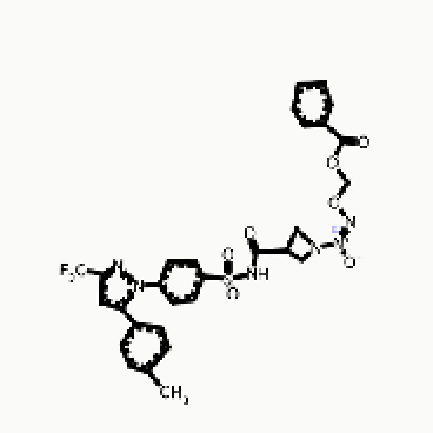 Cc1ccc(-c2cc(C(F)(F)F)nn2-c2ccc(S(=O)(=O)NC(=O)C3CN(/[N+]([O-])=N\OCOC(=O)c4ccccc4)C3)cc2)cc1